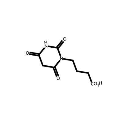 O=C(O)CCCN1C(=O)CC(=O)NC1=O